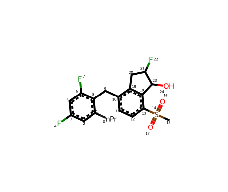 CCCc1cc(F)cc(F)c1Cc1ccc(S(C)(=O)=O)c2c1CC(F)C2O